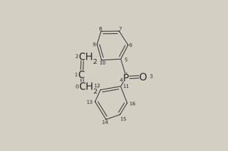 C=C=C.O=[P](c1ccccc1)c1ccccc1